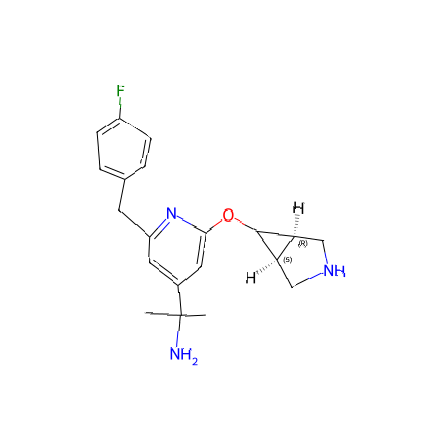 CC(C)(N)c1cc(Cc2ccc(F)cc2)nc(OC2[C@H]3CNC[C@@H]23)c1